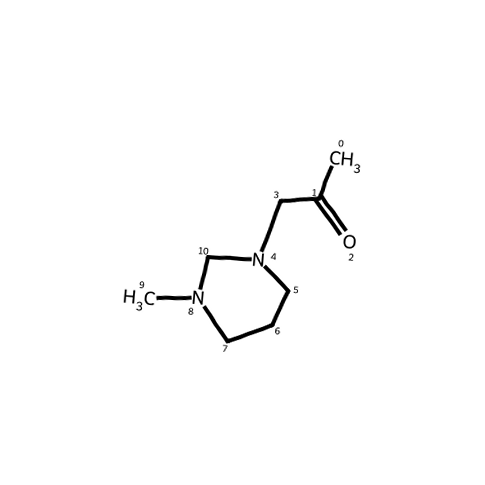 CC(=O)CN1CCCN(C)C1